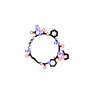 NC(=O)[C@@H]1CCCCNC(=O)/C=C/CCC(=O)N2CCC[C@H](C2)C(=O)N[C@@H](Cc2ccco2)C(=O)NCc2ccccc2CC(=O)N1